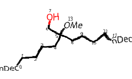 CCCCCCCCCCCCCCC(CO)(CCCCCCCCCCCCCC)OC